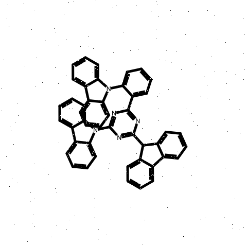 c1ccc2c(c1)-c1ccccc1C2c1nc(-c2ccccc2-n2c3ccccc3c3ccccc32)nc(-n2c3ccccc3c3ccccc32)n1